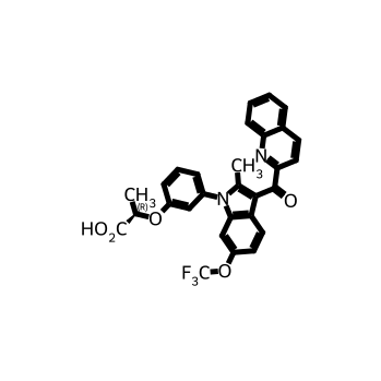 Cc1c(C(=O)c2ccc3ccccc3n2)c2ccc(OC(F)(F)F)cc2n1-c1cccc(O[C@H](C)C(=O)O)c1